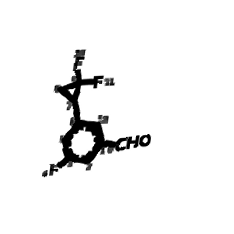 O=Cc1cc(F)cc(C2CC2(F)F)c1